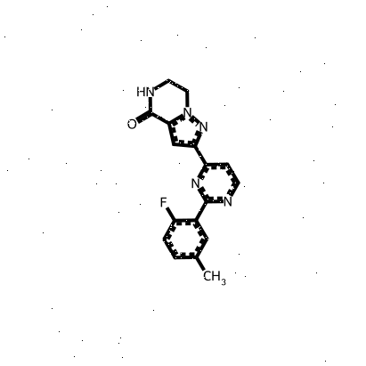 Cc1ccc(F)c(-c2nccc(-c3cc4n(n3)CCNC4=O)n2)c1